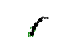 CCCCC[C@H]1CC[C@H](CC[C@H]2CC[C@H](c3cc(F)c(CCc4cc(F)c(Cl)c(F)c4)c(F)c3)CC2)CC1